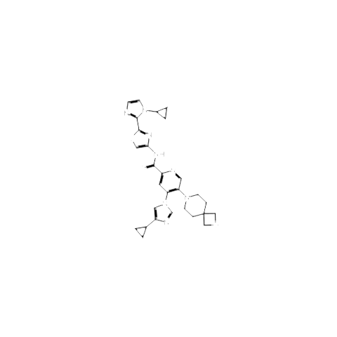 O=C(Nc1csc(-c2nccn2C2CC2)n1)c1cc(-n2cnc(C3CC3)c2)c(N2CCC3(CC2)COC3)cn1